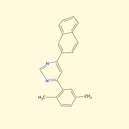 Cc1ccc(C)c(-c2cc(-c3ccc4ccccc4c3)ncn2)c1